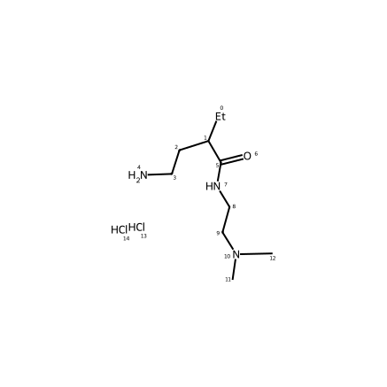 CCC(CCN)C(=O)NCCN(C)C.Cl.Cl